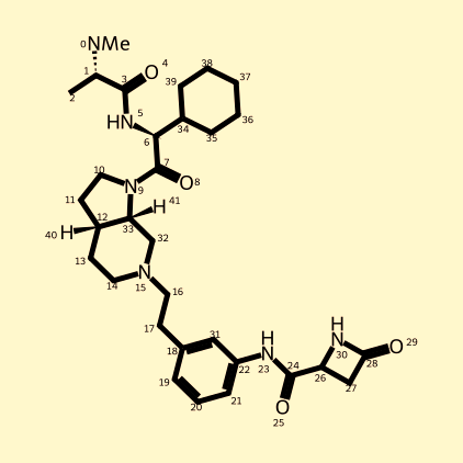 CN[C@@H](C)C(=O)N[C@H](C(=O)N1CC[C@H]2CCN(CCc3cccc(NC(=O)C4CC(=O)N4)c3)C[C@H]21)C1CCCCC1